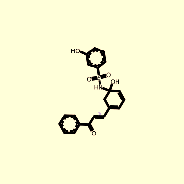 O=C(/C=C/C1=CC=CC(O)(NS(=O)(=O)c2cccc(O)c2)C1)c1ccccc1